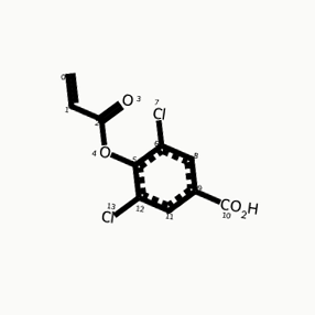 C=CC(=O)Oc1c(Cl)cc(C(=O)O)cc1Cl